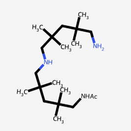 CC(=O)NCC(C)(C)CC(C)(C)CNCC(C)(C)CC(C)(C)CN